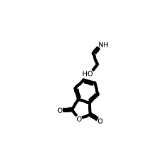 N=CCO.O=C1OC(=O)c2ccccc21